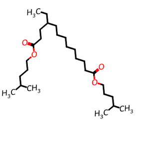 CCC(CCCCCCCCC(=O)OCCCC(C)C)CCC(=O)OCCCC(C)C